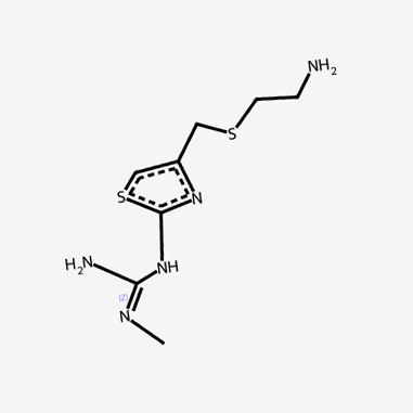 C/N=C(/N)Nc1nc(CSCCN)cs1